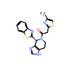 O=C(Cc1nc(C(F)(F)F)cs1)N1CCc2[nH]cnc2[C@H]1c1nc2ccccc2s1